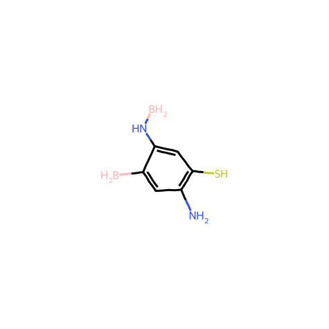 BNc1cc(S)c(N)cc1B